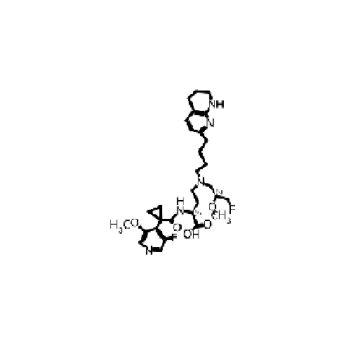 COc1cncc(F)c1C1(C(=O)N[C@@H](CCN(CCCCc2ccc3c(n2)NCCC3)C[C@@H](CF)OC)C(=O)O)CC1